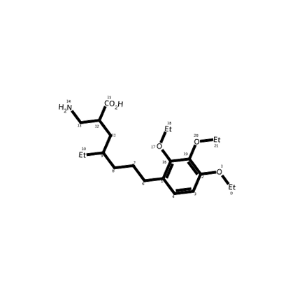 CCOc1ccc(CCCC(CC)CC(CN)C(=O)O)c(OCC)c1OCC